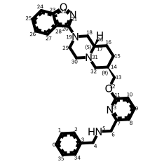 c1ccc(CNCc2cccc(OC[C@@H]3CC[C@H]4CN(c5noc6ccccc56)CCN4C3)n2)cc1